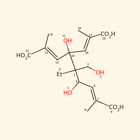 CCC(CO)(C(O)C=C(C)C(=O)O)C(O)(C=C(C)C(=O)O)C=C(C)C(=O)O